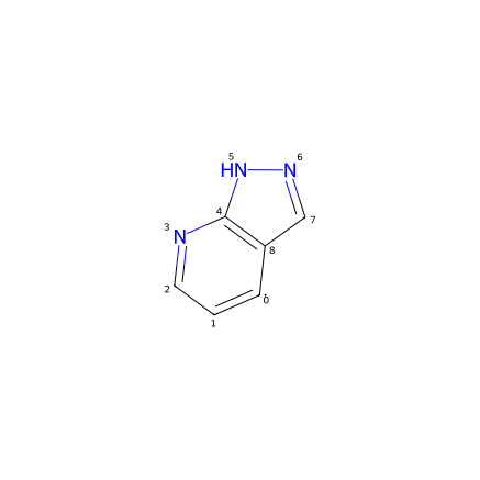 [c]1ccnc2[nH]ncc12